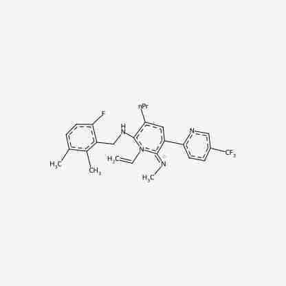 C=Cn1c(NCc2c(F)ccc(C)c2C)c(CCC)cc(-c2ccc(C(F)(F)F)cn2)/c1=N/C